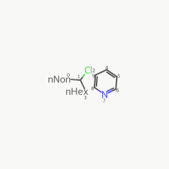 CCCCCCCCCC(Cl)CCCCCC.c1ccncc1